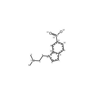 CN(C)CCn1ccc2ccc([N+](=O)[O-])cc21